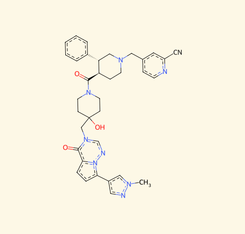 Cn1cc(-c2ccc3c(=O)n(CC4(O)CCN(C(=O)[C@@H]5CCN(Cc6ccnc(C#N)c6)C[C@H]5c5ccccc5)CC4)cnn23)cn1